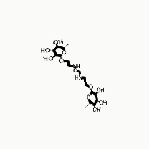 C[C@@H]1O[C@@H](OCCNCONCCO[C@@H]2O[C@@H](C)[C@@H](O)[C@@H](O)[C@@H]2O)[C@@H](O)[C@H](O)[C@@H]1O